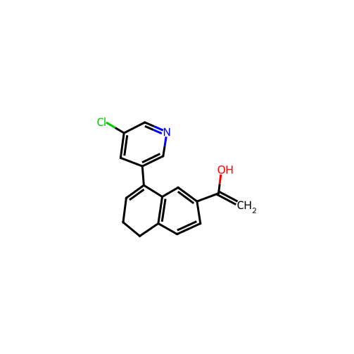 C=C(O)c1ccc2c(c1)C(c1cncc(Cl)c1)=CCC2